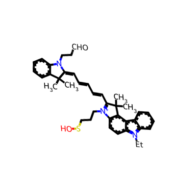 CCn1c2ccccc2c2c3c(ccc21)[N+](CCCSO)=C(/C=C/C=C/C=C1/N(CCC=O)c2ccccc2C1(C)C)C3(C)C